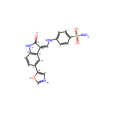 NS(=O)(=O)c1ccc(N/C=C2\C(=O)Nc3ccc(-c4cnco4)cc32)cc1